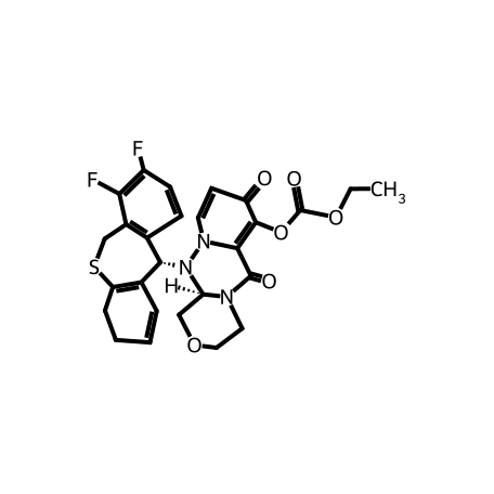 CCOC(=O)Oc1c2n(ccc1=O)N([C@@H]1C3=C(CCC=C3)SCc3c1ccc(F)c3F)[C@@H]1COCCN1C2=O